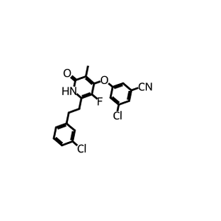 Cc1c(Oc2cc(Cl)cc(C#N)c2)c(F)c(CCc2cccc(Cl)c2)[nH]c1=O